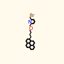 BrCc1cccc(COCCCCc2ccc3ccc4cccc5ccc2c3c45)n1